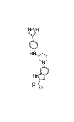 COC(=O)c1cc2ccc(N3CCCC(Nc4ccc(-c5cn[nH]c5)cc4)C3)cc2[nH]1